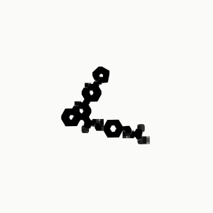 O=C(O)NC[C@H]1CC[C@H](CNC(=O)c2cc(-c3ccc(N4CCCC4)nc3)nc3ccccc23)CC1